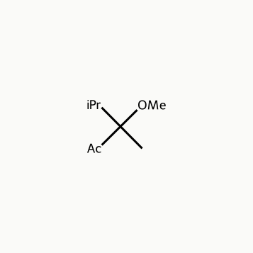 COC(C)(C(C)=O)C(C)C